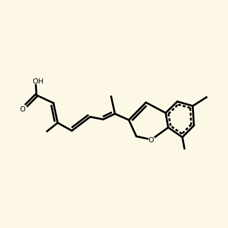 CC(C=CC=C(C)C1=Cc2cc(C)cc(C)c2OC1)=CC(=O)O